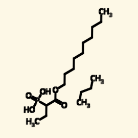 CCCC.CCCCCCCCCCOC(=O)C(CC)P(=O)(O)O